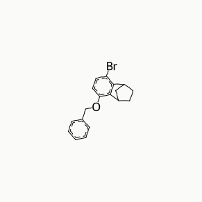 Brc1ccc(OCc2ccccc2)c2c1C1CCC2C1